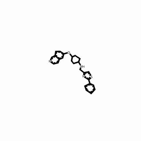 c1ccc(-c2nc(CNC3CCC(Oc4ccc5cnccc5c4)CC3)cs2)cc1